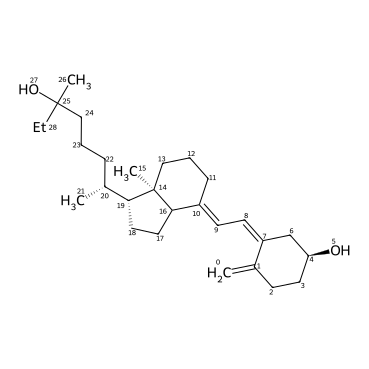 C=C1CC[C@H](O)C/C1=C/C=C1\CCC[C@@]2(C)C1CC[C@@H]2[C@H](C)CCCC(C)(O)CC